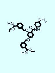 CCOC(=N)c1cccc(COc2ccc(C(=O)NC3CCC(N)CC3)c(OCc3cccc(C(=N)OCC)c3)c2)c1